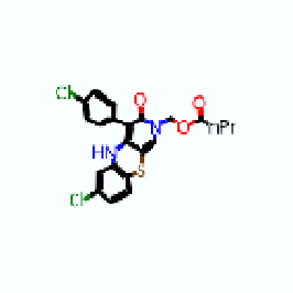 CCCC(=O)OCn1cc2c(c(-c3ccc(Cl)cc3)c1=O)Nc1cc(Cl)ccc1S2